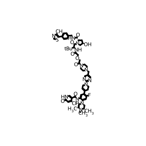 Cc1ncsc1-c1ccc(CNC(=O)[C@@H]2C[C@@H](O)CN2C(=O)C(NC(=O)COCC(=O)N2CCN(Cc3cnc(N4CC=C(c5cc(NC(=O)c6c[nH]c(=O)cc6C(F)(F)F)c(N6C[C@@H](C)N(C)[C@@H](C)C6)cc5F)CC4)nc3)CC2)C(C)(C)C)cc1